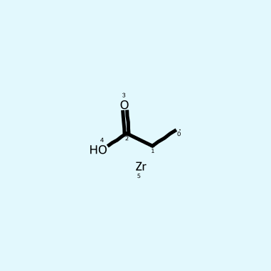 [CH2]CC(=O)O.[Zr]